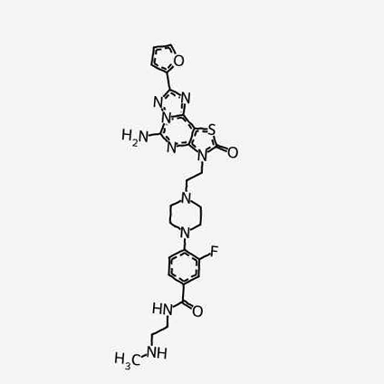 CNCCNC(=O)c1ccc(N2CCN(CCn3c(=O)sc4c3nc(N)n3nc(-c5ccco5)nc43)CC2)c(F)c1